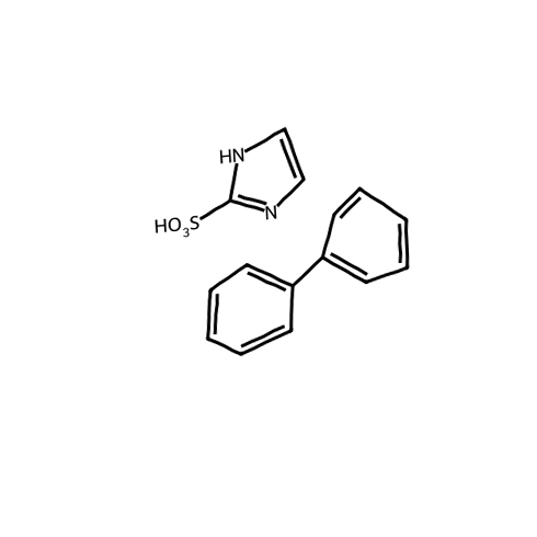 O=S(=O)(O)c1ncc[nH]1.c1ccc(-c2ccccc2)cc1